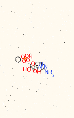 C[C@@]1(c2ccc3c(N)ncnn23)OC(COP(=O)(O)Oc2ccccc2)[C@@H](O)[C@H]1O